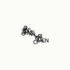 Cn1c(N2CCN(CCCOc3c(Cl)cc(C#N)cc3Cl)CC2)cc(=O)n(C)c1=O